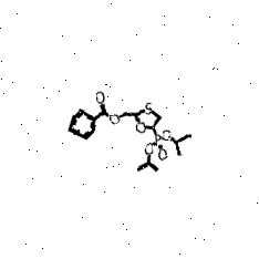 CC(C)OP(=O)(OC(C)C)C1CSC(COC(=O)c2ccccc2)O1